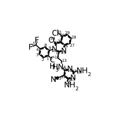 Cc1ccc(C(F)F)cc1-n1c(CCNc2nc(N)nc(N)c2C#N)nc2cccc(Cl)c2c1=O